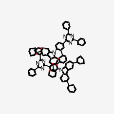 c1ccc(-c2ccc3c(c2)c2cc(-c4ccccc4)ccc2n3-c2ccc(-c3nc(-c4ccccc4)nc(-c4ccccc4)n3)cc2-c2cccc(-c3cc(-c4nc(-c5ccccc5)nc(-c5ccccc5)n4)ccc3-n3c4ccc(-c5ccccc5)cc4c4cc(-c5ccccc5)ccc43)c2)cc1